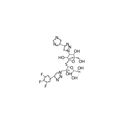 C[C@@H](O)C(CO)OC(S[C@@H]1O[C@H](CO)C(O)C(n2cc(-c3cncnc3)nn2)C1O)[C@@H](O)Cn1cc(-c2cc(F)c(F)c(F)c2)nn1